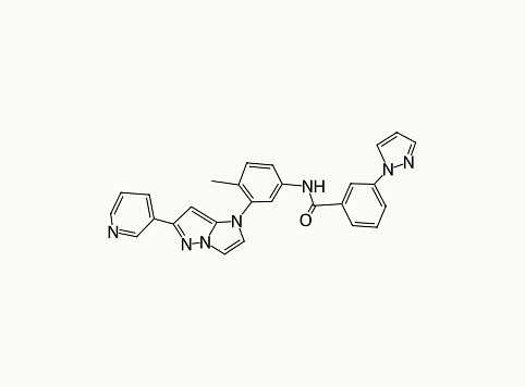 Cc1ccc(NC(=O)c2cccc(-n3cccn3)c2)cc1-n1ccn2nc(-c3cccnc3)cc12